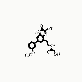 CC(C)c1nc2c(CCNC(=O)CO)cc(-c3cccc(OC(F)(F)F)c3)cc2[nH]c1=O